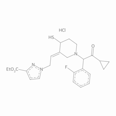 CCOC(=O)c1ccn(C/C=C2\CN(C(C(=O)C3CC3)c3ccccc3F)CCC2S)n1.Cl